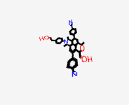 C=C1c2cc(-c3ccc(C#N)cc3)c(C(C)=CO)c3c(C(C)=O)cc(-c4ccc(C#N)cc4)c(c23)C(=C)N1c1ccc(CCO)cc1